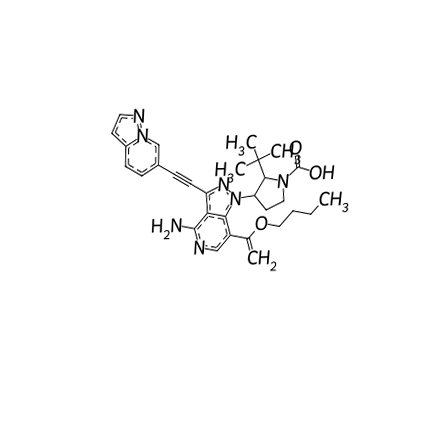 C=C(OCCCC)c1cnc(N)c2c(C#Cc3ccc4ccnn4c3)nn(C3CCN(C(=O)O)C3C(C)(C)C)c12